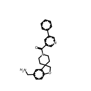 NCc1ccc2c(c1)C1(CCN(C(=O)c3cncc(-c4ccccc4)c3)CC1)CO2